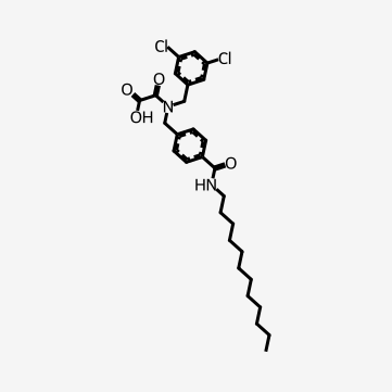 CCCCCCCCCCCCNC(=O)c1ccc(CN(Cc2cc(Cl)cc(Cl)c2)C(=O)C(=O)O)cc1